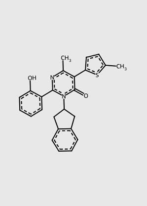 Cc1ccc(-c2c(C)nc(-c3ccccc3O)n(C3Cc4ccccc4C3)c2=O)s1